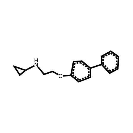 c1ccc(-c2ccc(OCCNC3CC3)cc2)cc1